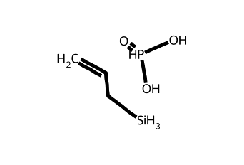 C=CC[SiH3].O=[PH](O)O